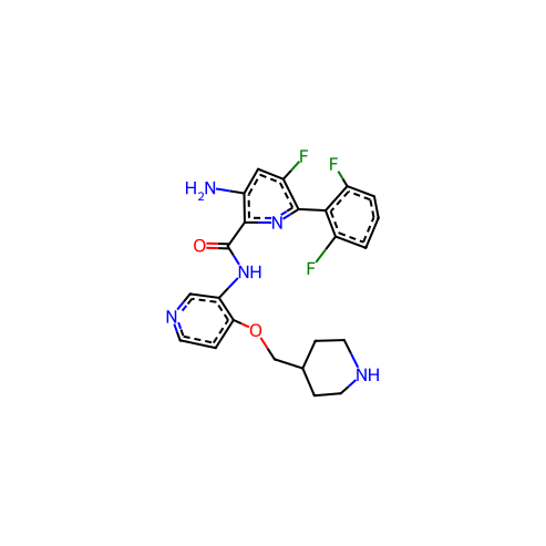 Nc1cc(F)c(-c2c(F)cccc2F)nc1C(=O)Nc1cnccc1OCC1CCNCC1